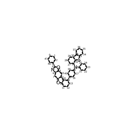 c1ccc(-c2nc3cc4oc5cccc(-c6ccc(N(c7ccccc7)c7cccc8c7sc7ccccc78)cc6)c5c4cc3o2)cc1